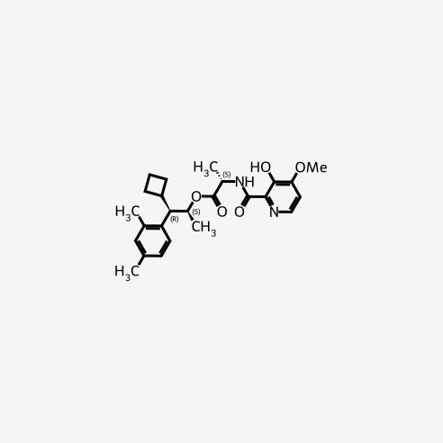 COc1ccnc(C(=O)N[C@@H](C)C(=O)O[C@@H](C)[C@@H](c2ccc(C)cc2C)C2CCC2)c1O